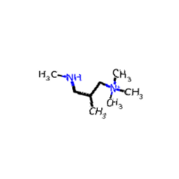 CNCC(C)C[N+](C)(C)C